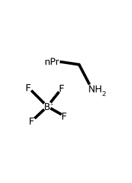 C[CH]CCN.F[B-](F)(F)F